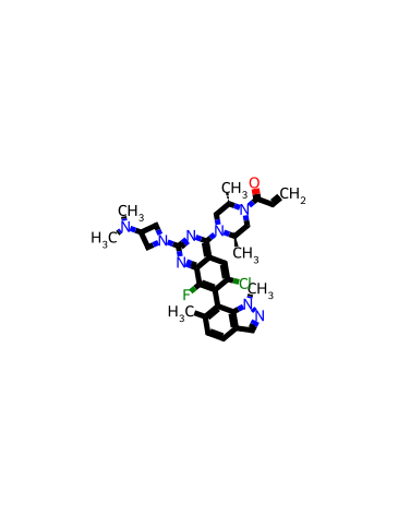 C=CC(=O)N1C[C@@H](C)N(c2nc(N3CC(N(C)C)C3)nc3c(F)c(-c4c(C)ccc5cnn(C)c45)c(Cl)cc23)C[C@@H]1C